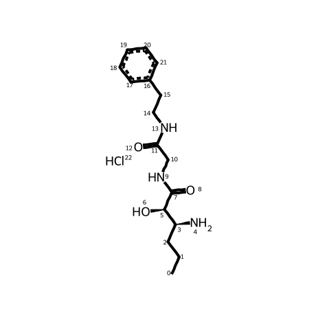 CCC[C@H](N)[C@@H](O)C(=O)NCC(=O)NCCc1ccccc1.Cl